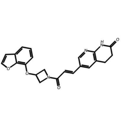 O=C1CCc2cc(/C=C/C(=O)N3CC(Oc4cccc5ccoc45)C3)cnc2N1